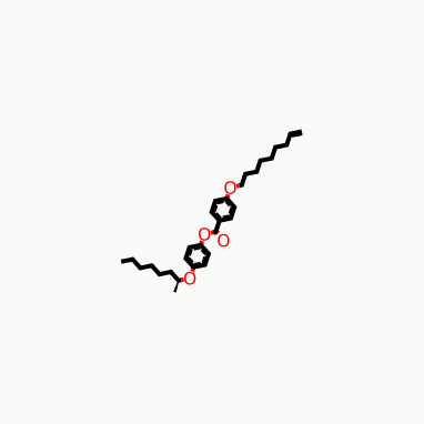 C=CCCCCCCCOc1ccc(C(=O)Oc2ccc(O[C@@H](C)CCCCCC)cc2)cc1